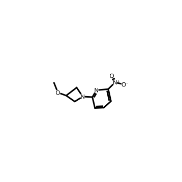 COC1CN(c2cccc([N+](=O)[O-])n2)C1